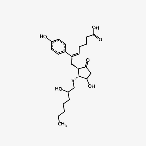 CCCCCC(O)CS[C@H]1C(O)CC(=O)[C@@H]1CC(=CCCCC(=O)O)c1ccc(O)cc1